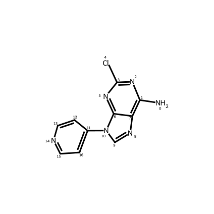 Nc1nc(Cl)nc2c1ncn2-c1ccncc1